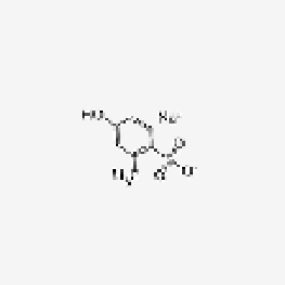 Cc1cc(O)ccc1S(=O)(=O)[O-].[Na+]